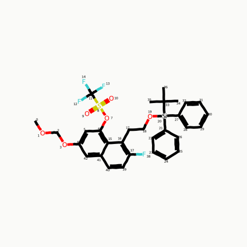 COCOc1cc(OS(=O)(=O)C(F)(F)F)c2c(CCO[Si](c3ccccc3)(c3ccccc3)C(C)(C)C)c(F)ccc2c1